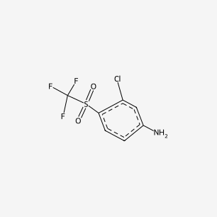 Nc1ccc(S(=O)(=O)C(F)(F)F)c(Cl)c1